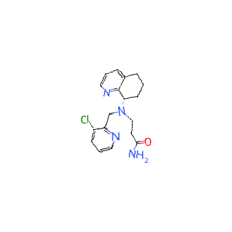 NC(=O)CCN(Cc1ncccc1Cl)[C@H]1CCCc2cccnc21